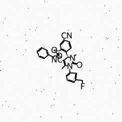 CC1=C(C#N)[C@@H](c2ccc(C#N)cc2S(=O)(=O)Cc2ccccc2)N(C)C(=O)N1c1cccc(CF)c1